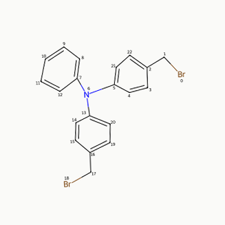 BrCc1ccc(N(c2ccccc2)c2ccc(CBr)cc2)cc1